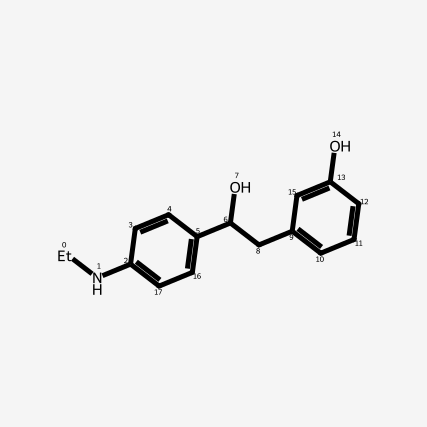 CCNc1ccc(C(O)Cc2cccc(O)c2)cc1